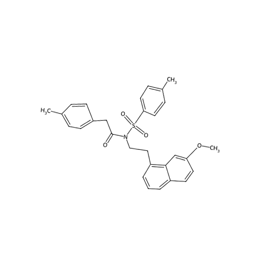 COc1ccc2cccc(CCN(C(=O)Cc3ccc(C)cc3)S(=O)(=O)c3ccc(C)cc3)c2c1